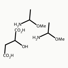 COC(C)N.COC(C)N.O=C(O)CC(O)C(=O)O